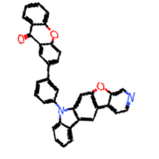 O=c1c2ccccc2oc2ccc(-c3cccc(-n4c5ccccc5c5cc6c(cc54)oc4cnccc46)c3)cc12